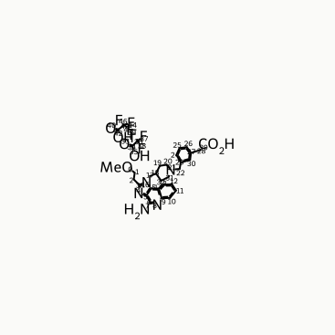 COCCc1nc2c(N)nc3ccccc3c2n1CC1CCN(Cc2cccc(CC(=O)O)c2)CC1.O=C(O)C(F)(F)F.O=C(O)C(F)(F)F